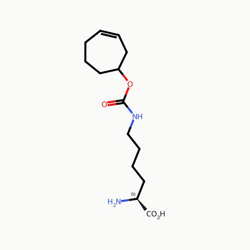 N[C@@H](CCCCNC(=O)OC1CC=CCCC1)C(=O)O